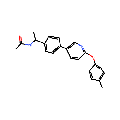 CC(=O)NC(C)c1ccc(-c2ccc(Oc3ccc(C)cc3)nc2)cc1